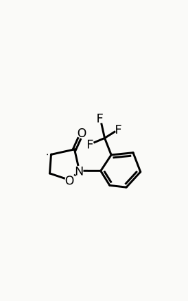 O=C1[CH]CON1c1ccccc1C(F)(F)F